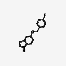 Fc1ccc(COc2ccc3[nH]ccc3c2)cc1